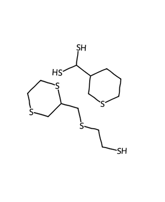 SC(S)C1CCCSC1.SCCSCC1CSCCS1